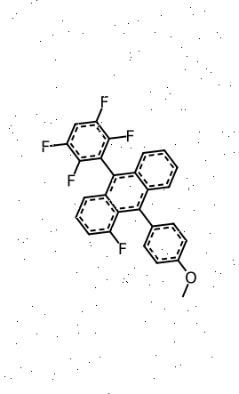 COc1ccc(-c2c3ccccc3c(-c3c(F)c(F)cc(F)c3F)c3cccc(F)c23)cc1